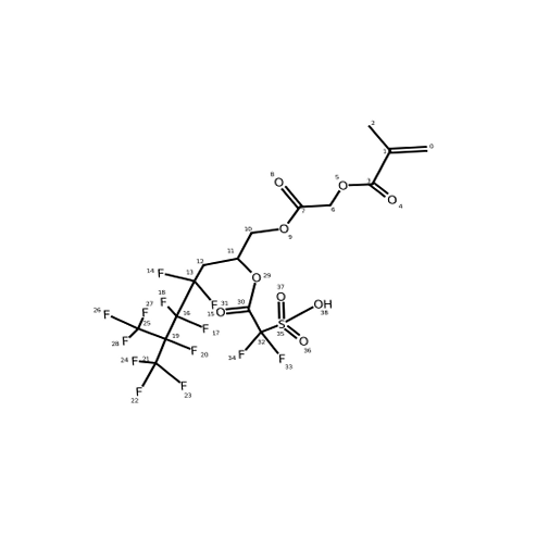 C=C(C)C(=O)OCC(=O)OCC(CC(F)(F)C(F)(F)C(F)(C(F)(F)F)C(F)(F)F)OC(=O)C(F)(F)S(=O)(=O)O